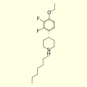 CCCCCCC[Si@H]1CC[C@H](c2ccc(OCC)c(F)c2F)CC1